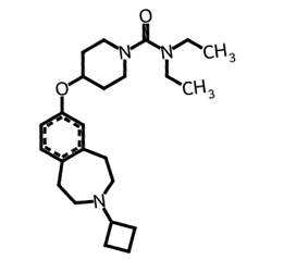 CCN(CC)C(=O)N1CCC(Oc2ccc3c(c2)CCN(C2CCC2)CC3)CC1